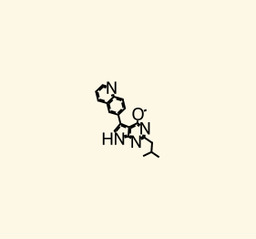 COc1nc(CC(C)C)nc2[nH]cc(-c3ccc4ncccc4c3)c12